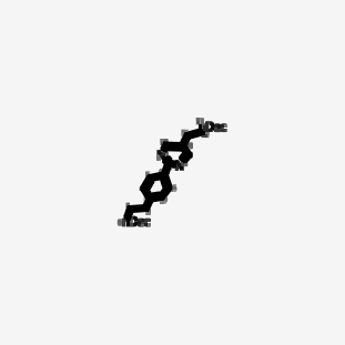 CCCCCCCCCCCCc1ccc(-c2ncc(CCCCCCCCCCCC)cn2)cc1